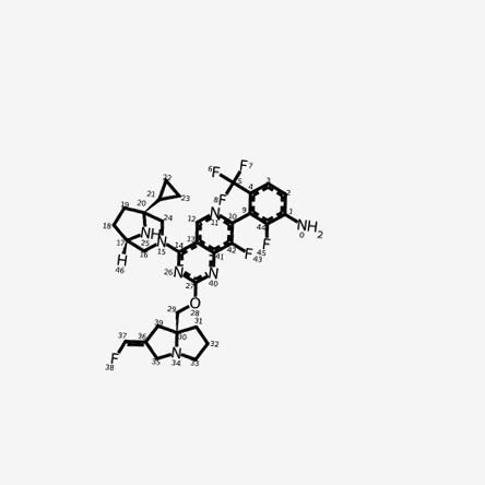 Nc1ccc(C(F)(F)F)c(-c2ncc3c(N4C[C@@H]5CC[C@](C6CC6)(C4)N5)nc(OC[C@@]45CCCN4C/C(=C\F)C5)nc3c2F)c1F